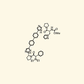 CCN(CC)C(C(=O)N1CCC[C@H]1c1ncc(-c2ccc(-c3ccc(-c4cnc([C@@H]5CCCN5C(=O)[C@H](Cn5cccn5)NC(=O)OC)[nH]4)cc3)cc2)[nH]1)c1ccccc1